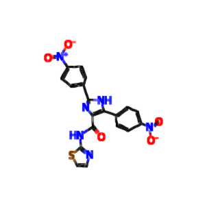 O=C(Nc1nccs1)c1nc(-c2ccc([N+](=O)[O-])cc2)[nH]c1-c1ccc([N+](=O)[O-])cc1